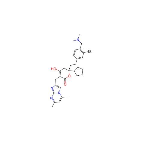 CCc1cc(CCC2(C3CCCC3)CC(O)=C(Cc3cn4c(C)cc(C)nc4n3)C(=O)O2)ccc1CN(C)C